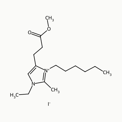 CCCCCC[n+]1c(CCC(=O)OC)cn(CC)c1C.[I-]